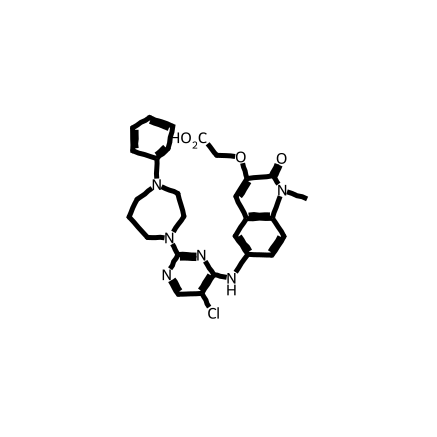 Cn1c(=O)c(OCC(=O)O)cc2cc(Nc3nc(N4CCCN(c5ccccc5)CC4)ncc3Cl)ccc21